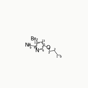 CCCCOc1cnc(C#N)c(Br)c1